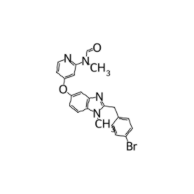 CN(C=O)c1cc(Oc2ccc3c(c2)nc(Cc2ccc(Br)cc2)n3C)ccn1